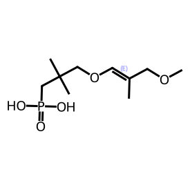 COC/C(C)=C/OCC(C)(C)CP(=O)(O)O